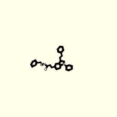 O=C(CCc1ccc2c(c1)c(CCc1ccccc1)cn2-c1ccccc1)NOCc1ccccc1